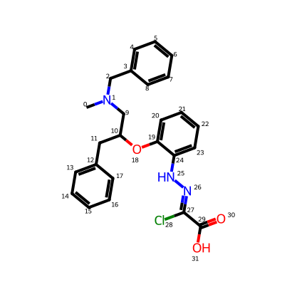 CN(Cc1ccccc1)CC(Cc1ccccc1)Oc1ccccc1NN=C(Cl)C(=O)O